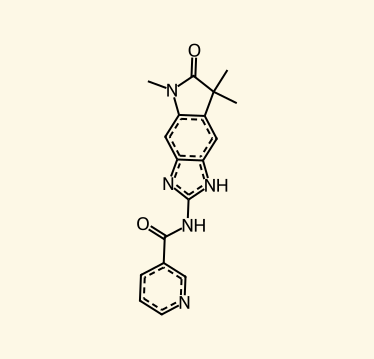 CN1C(=O)C(C)(C)c2cc3[nH]c(NC(=O)c4cccnc4)nc3cc21